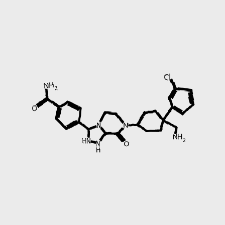 NCC1(c2cccc(Cl)c2)CCC(N2CCN3C(NNC3c3ccc(C(N)=O)cc3)C2=O)CC1